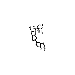 CN1C(=O)CSc2cc(-c3ccc(CC(C#N)NC(=O)C4(N)CCOCC4)cc3)ccc21